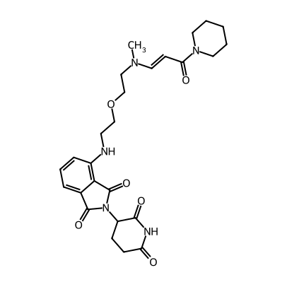 CN(/C=C/C(=O)N1CCCCC1)CCOCCNc1cccc2c1C(=O)N(C1CCC(=O)NC1=O)C2=O